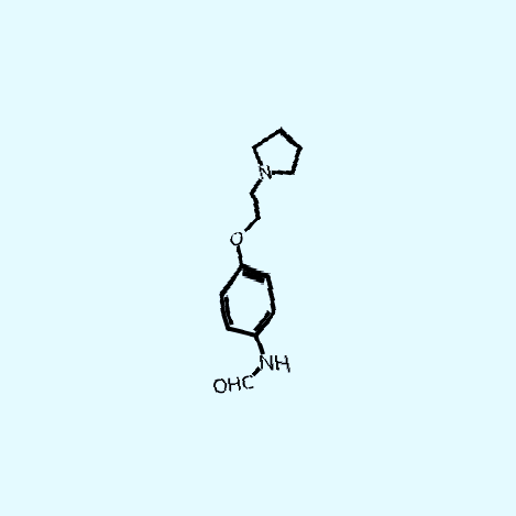 O=CNc1ccc(OCCN2CCCC2)cc1